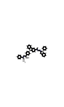 C/C(=C\C=C1/Cc2ccccc2N1c1ccccc1)c1ccc2c(c1)c1ccccc1n2-c1ccc(C(=N)/C=C(\N)c2ccccc2)cc1